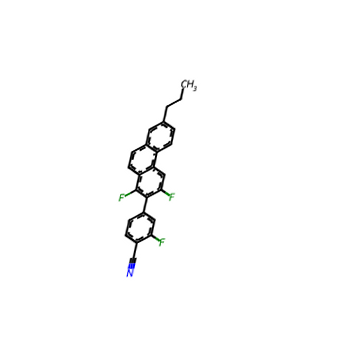 CCCc1ccc2c(ccc3c(F)c(-c4ccc(C#N)c(F)c4)c(F)cc32)c1